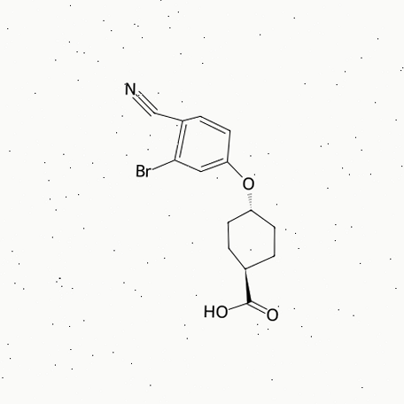 N#Cc1ccc(O[C@H]2CC[C@H](C(=O)O)CC2)cc1Br